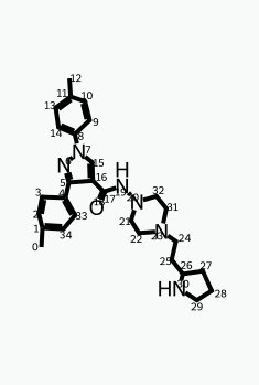 Cc1ccc(-c2nn(-c3ccc(C)cc3)cc2C(=O)NN2CCN(CCC3CCCN3)CC2)cc1